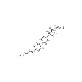 CCC/C=C/CO[C@H]1CO[C@H](c2ccc(C34CCC(CCCCC)(CC3)CC4)cc2)CO1